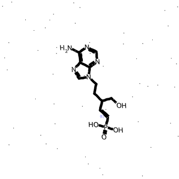 Nc1ncnc2c1ncn2CCC(/C=C/P(=O)(O)O)CO